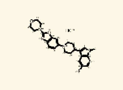 Cl.Cn1cc(C2CCN(c3ccc4nc(N5CCOCC5)oc4c3)CC2)c2cc(F)cnc21